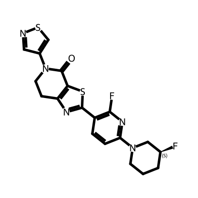 O=C1c2sc(-c3ccc(N4CCC[C@H](F)C4)nc3F)nc2CCN1c1cnsc1